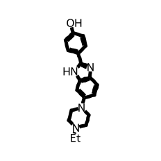 CCN1CCN(c2ccc3nc(-c4ccc(O)cc4)[nH]c3c2)CC1